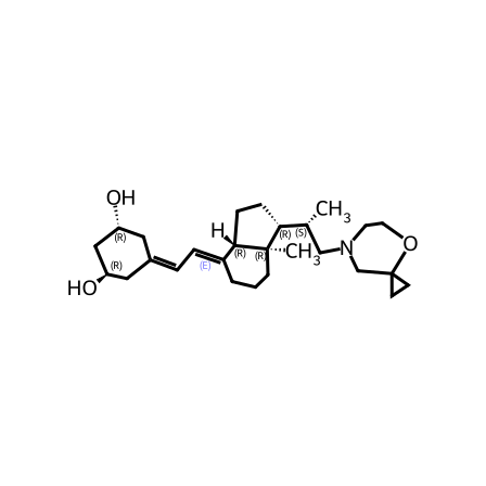 C[C@H](CN1CCOC2(CC2)C1)[C@H]1CC[C@H]2/C(=C/C=C3C[C@@H](O)C[C@H](O)C3)CCC[C@]12C